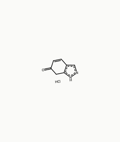 Cl.O=C1C=Cc2cn[nH]c2C1